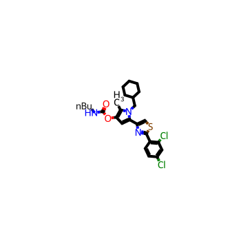 CCCCNC(=O)Oc1cc(-c2csc(-c3ccc(Cl)cc3Cl)n2)n(CC2CCCCC2)c1C